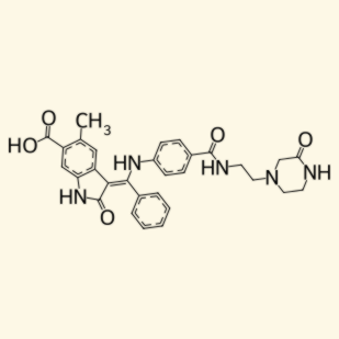 Cc1cc2c(cc1C(=O)O)NC(=O)C2=C(Nc1ccc(C(=O)NCCN2CCNC(=O)C2)cc1)c1ccccc1